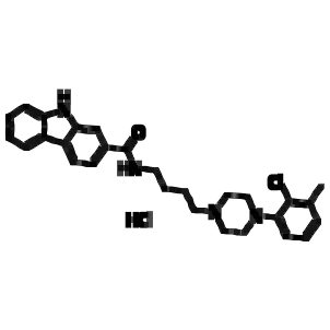 Cc1cccc(N2CCN(CCCCNC(=O)c3ccc4c(c3)[nH]c3ccccc34)CC2)c1Cl.Cl